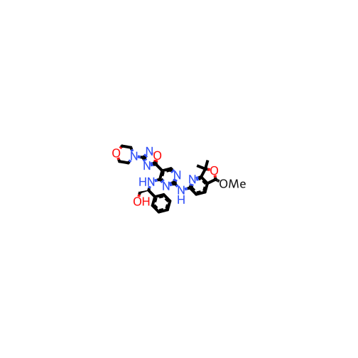 COC1OC(C)(C)c2nc(Nc3ncc(-c4nc(N5CCOCC5)no4)c(N[C@H](CO)c4ccccc4)n3)ccc21